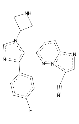 N#Cc1cnc2ccc(-c3c(-c4ccc(F)cc4)ncn3C3CNC3)nn12